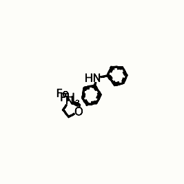 C1=NCCO1.P.[Fe].c1ccc(Nc2ccccc2)cc1